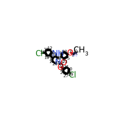 C/C=C\Oc1ccc([C@H]2C3Nc4ccc(Cl)cc4C3CCN2C(=O)Oc2ccc(Cl)cc2)cc1